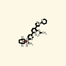 CC(C)Oc1nc(-c2ccc(N(C)C3C[C@H]4CC[C@@H](C3)N4C(=O)O)nn2)ccc1-c1cnn(C2CCCCO2)c1